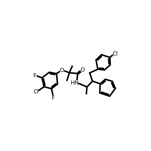 CC(NC(=O)C(C)(C)Oc1cc(F)c(Cl)c(F)c1)C(Cc1ccc(Cl)cc1)c1ccccc1